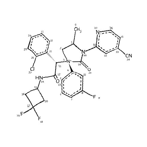 CC1C[N@@+](c2cccc(F)c2)([C@H](C(=O)NC2CC(F)(F)C2)c2ccccc2Cl)C(=O)N1c1cc(C#N)ccn1